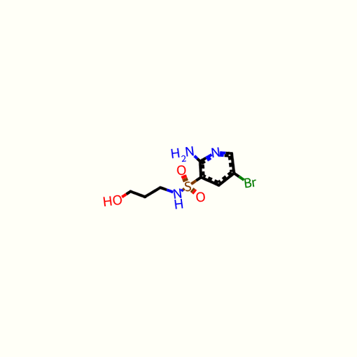 Nc1ncc(Br)cc1S(=O)(=O)NCCCO